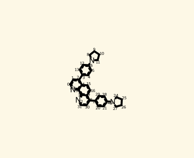 c1cc(-c2ccc(N3CCCC3)cc2)c2ccc3c(-c4ccc(N5CCCC5)cc4)ccnc3c2n1